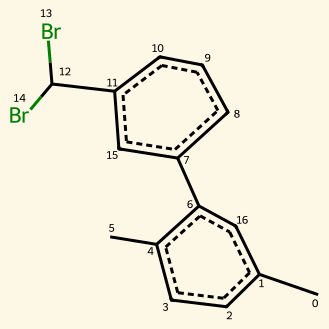 Cc1ccc(C)c(-c2cccc(C(Br)Br)c2)c1